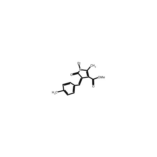 CCN1C(=O)/C(=C\c2ccc(C)cc2)C(C(=O)OC)=C1C